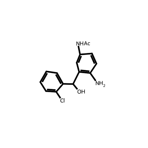 CC(=O)Nc1ccc(N)c(C(O)c2ccccc2Cl)c1